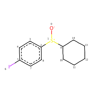 [O-][S+](c1ccc(I)cc1)C1CCCCC1